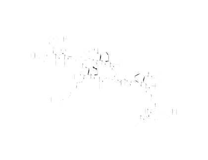 NC(=O)N[C@@H](CCCCNc1nc(NCCN(CCNc2ccc([N+](=O)[O-])c(NCCCCCNC(=O)N[C@@H](CCC(=O)O)C(=O)O)n2)CCNc2ccc([N+](=O)[O-])c(NCCCCCC(=O)O)n2)ccc1[N+](=O)[O-])C(=O)O